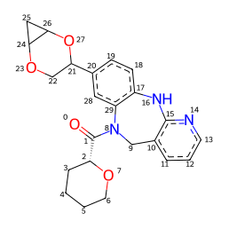 O=C([C@H]1CCCCO1)N1Cc2cccnc2Nc2ccc(C3COC4CC4O3)cc21